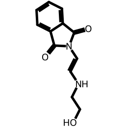 O=C1c2ccccc2C(=O)N1C=CNCCO